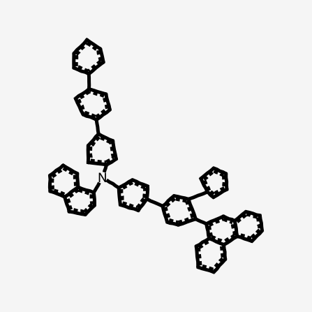 c1ccc(-c2ccc(-c3ccc(N(c4ccc(-c5ccc(-c6cc7ccccc7c7ccccc67)c(-c6ccccc6)c5)cc4)c4cccc5ccccc45)cc3)cc2)cc1